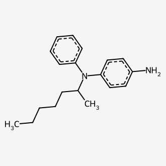 CCCCCC(C)N(c1ccccc1)c1ccc(N)cc1